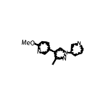 COc1ccc(-c2cn(-c3cccnc3)nc2C)cn1